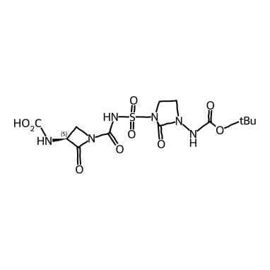 CC(C)(C)OC(=O)NN1CCN(S(=O)(=O)NC(=O)N2C[C@H](NC(=O)O)C2=O)C1=O